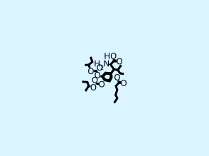 CCCCCC(=O)OC(C)C(C)C(c1ccc(OC(=O)OC(C)CC)c(OC(=O)OC(C)CC)c1)[C@H](N)C(=O)O